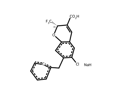 O=C(O)C1=Cc2cc(Cl)c(Cc3ccccc3)cc2O[C@@H]1C(F)(F)F.[NaH]